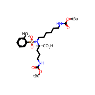 CC(C)(C)OC(=O)NCCCCCCN([C@@H](CCCNC(=O)OC(C)(C)C)C(=O)O)S(=O)(=O)c1ccccc1[N+](=O)[O-]